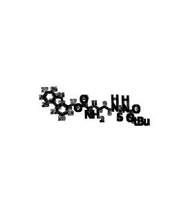 CC(C)(C)OC(=O)NC(=S)NCCCCC(N)C(=O)OCc1cccc2c1Cc1ccccc1-2